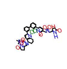 COc1nc(-c2cccc(-c3cccc(-c4ccc5c(n4)CCCC5N(CC4CCC(=O)N4)C(=O)OC(C)(C)C)c3Cl)c2Cl)ccc1CN(CC1CCC(=O)N1)C(=O)O